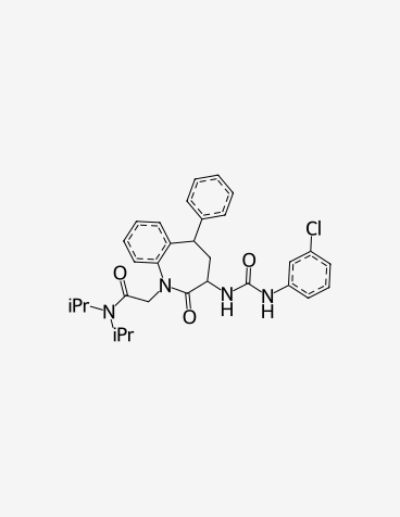 CC(C)N(C(=O)CN1C(=O)C(NC(=O)Nc2cccc(Cl)c2)CC(c2ccccc2)c2ccccc21)C(C)C